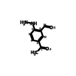 CC(=O)c1ccc(NN)c(C=O)c1